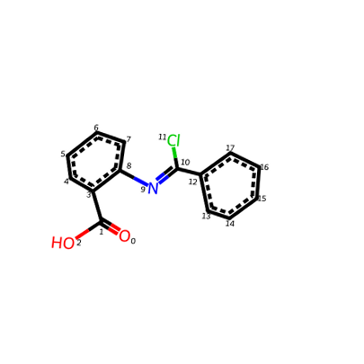 O=C(O)c1ccccc1N=C(Cl)c1ccccc1